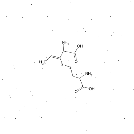 CC=C(SSCC(N)C(=O)O)C(N)C(=O)O